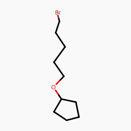 BrCCCCCOC1CCCC1